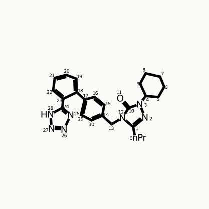 CCCc1nn(C2CCCCC2)c(=O)n1Cc1ccc(-c2ccccc2-c2nnn[nH]2)cc1